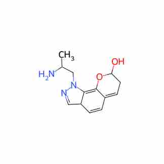 CC(N)CN1N=CC2C=CC3=CCC(O)OC3=C21